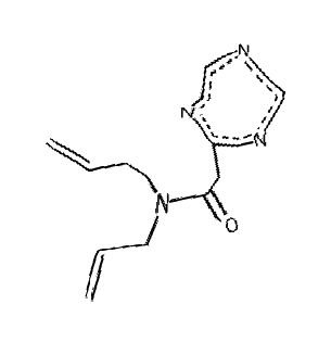 C=CCN(CC=C)C(=O)c1ncncn1